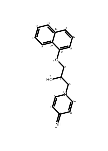 N=c1ccn(CC(O)COc2cccc3ccccc23)cc1